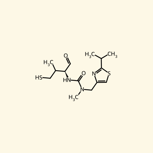 CC(C)c1nc(CN(C)C(=O)N[C@H](C=O)C(C)CS)cs1